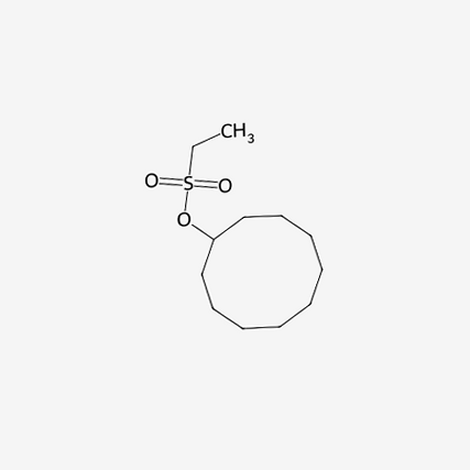 CCS(=O)(=O)OC1CCCCCCCCC1